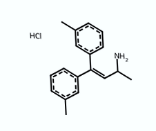 Cc1cccc(C(=CC(C)N)c2cccc(C)c2)c1.Cl